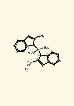 C[S][Zr+2]([S]C)([CH]1C(C)=Cc2ccccc21)[CH]1C(C)=Cc2ccccc21.[Cl-].[Cl-]